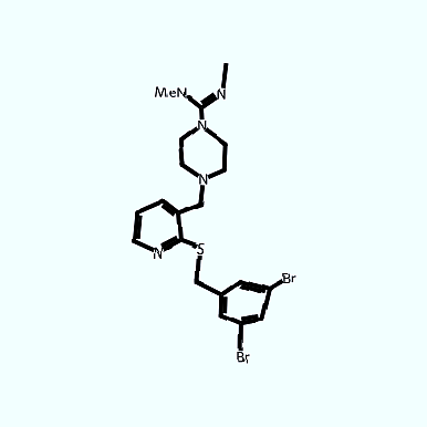 C/N=C(\NC)N1CCN(Cc2cccnc2SCc2cc(Br)cc(Br)c2)CC1